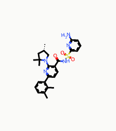 Cc1cccc(-c2ccc(C(=O)NS(=O)(=O)c3cccc(N)n3)c(N3C[C@@H](C)CC3(C)C)n2)c1C